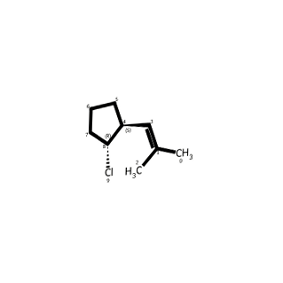 CC(C)=C[C@@H]1CCC[C@H]1Cl